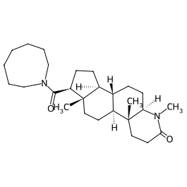 CN1C(=O)CC[C@]2(C)[C@H]3CC[C@]4(C)[C@@H](C(=O)N5CCCCCCC5)CC[C@H]4[C@@H]3CC[C@@H]12